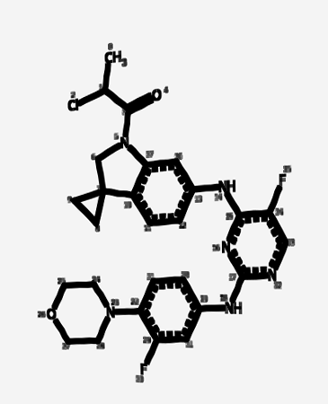 CC(Cl)C(=O)N1CC2(CC2)c2ccc(Nc3nc(Nc4ccc(N5CCOCC5)c(F)c4)ncc3F)cc21